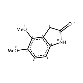 COc1ccc2c(c1OC)CC(=O)N2